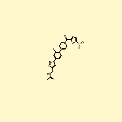 CC(=S)NCc1cn(-c2ccc(C3=CCN(C(=O)c4ccc([N+](=O)[O-])o4)CC3)c(F)c2)nn1